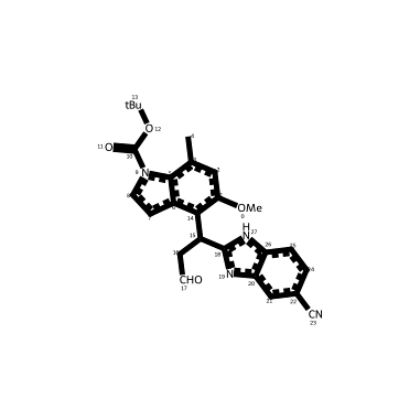 COc1cc(C)c2c(ccn2C(=O)OC(C)(C)C)c1C(CC=O)c1nc2cc(C#N)ccc2[nH]1